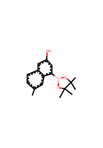 Cc1ccc2cc(O)cc(B3OC(C)(C)C(C)(C)O3)c2c1